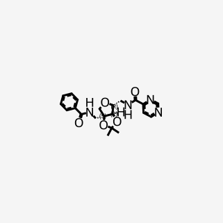 CC1(C)O[C@@H]2[C@@H](CNC(=O)c3ccncn3)OC[C@]2(CNC(=O)c2ccccc2)O1